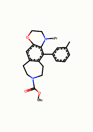 CCCN1CCOc2cc3c(c(-c4cccc(C)c4)c21)CCN(C(=O)OC(C)(C)C)CC3